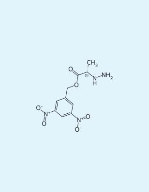 C[C@H](NN)C(=O)OCc1cc([N+](=O)[O-])cc([N+](=O)[O-])c1